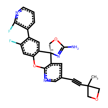 CC1(C#Cc2cnc3c(c2)[C@@]2(COC(N)=N2)c2cc(-c4cccnc4F)c(F)cc2O3)COC1